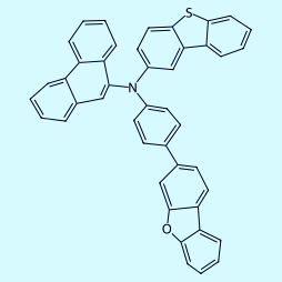 c1ccc2c(c1)cc(N(c1ccc(-c3ccc4c(c3)oc3ccccc34)cc1)c1ccc3sc4ccccc4c3c1)c1ccccc12